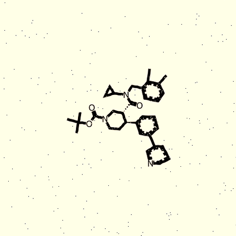 Cc1cccc(CN(C(=O)[C@H]2CN(C(=O)OC(C)(C)C)CC[C@@H]2c2cccc(-c3cccnc3)c2)C2CC2)c1C